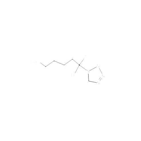 CCCCCCCCCCCCC(CC)(CC)N1CN=NN1